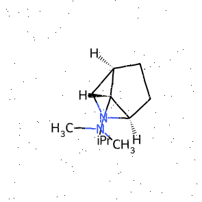 CC(C)N1C[C@H]2CC[C@@H]1[C@@H]2N(C)C